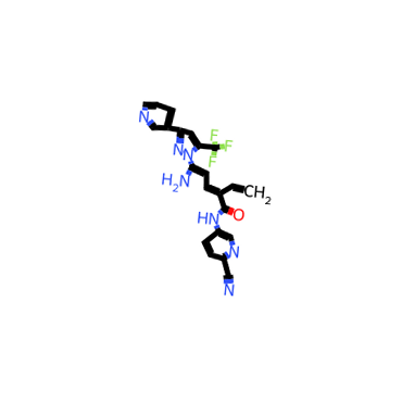 C=C/C(=C\C=C(/N)n1nc(-c2cccnc2)cc1C(F)(F)F)C(=O)Nc1ccc(C#N)nc1